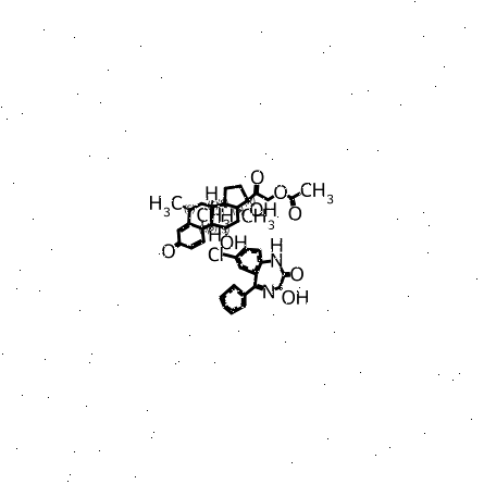 CC(=O)OCC(=O)[C@@]1(O)CC[C@H]2[C@@H]3C[C@H](C)C4=CC(=O)C=C[C@]4(C)[C@H]3[C@@H](O)C[C@@]21C.O=C1Nc2ccc(Cl)cc2C(c2ccccc2)=NC1O